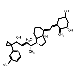 C=C1/C(=C\C=C2/CCC[C@]3(C)[C@@H]([C@H](C)/C=C/[C@@H](O)C4(c5cc(CCCC)ccn5)CC4)CC[C@@H]23)C[C@@H](O)C[C@@H]1O